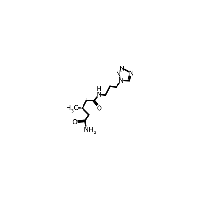 C[C@@H]([CH]C(=O)NCCCn1cnnn1)CC(N)=O